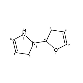 [C]1=CCN(C2CC=CO2)N1